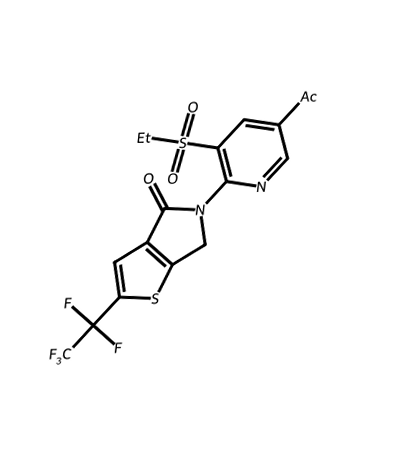 CCS(=O)(=O)c1cc(C(C)=O)cnc1N1Cc2sc(C(F)(F)C(F)(F)F)cc2C1=O